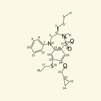 CCCC[C@@H]1CN(c2ccccc2)c2cc(SCC)c(OCC3CC3)cc2S(=O)(=O)N1C